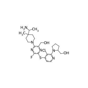 CC(N)C1(C)CCN(c2nc(F)c(Sc3ccnc(N4CCCC4CO)c3Cl)nc2CO)CC1